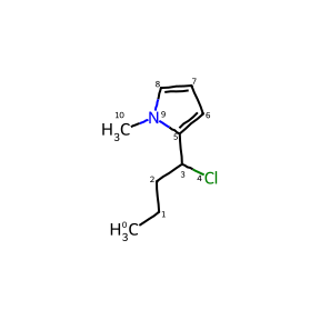 CCCC(Cl)c1cccn1C